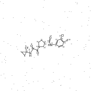 O=C(NC1(C(F)(F)F)CC1)C(=O)N1CC[C@H](C(=O)Nc2ccc(F)c(Cl)c2)C1